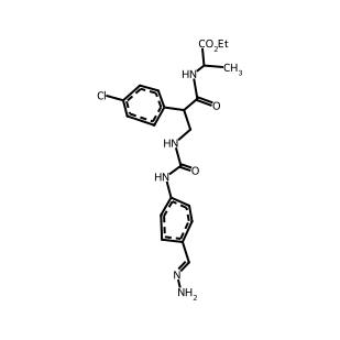 CCOC(=O)C(C)NC(=O)C(CNC(=O)Nc1ccc(C=NN)cc1)c1ccc(Cl)cc1